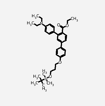 CCOC(=O)c1ccc(-c2ccc(OCCCO[Si](C)(C)C(C)(C)C)cc2)cc1-c1ccc(N(CC)CC)cc1